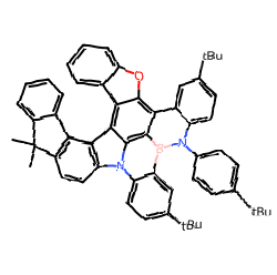 CC(C)(C)c1ccc(N2B3c4cc(C(C)(C)C)ccc4-n4c5ccc6c(c5c5c7c(oc8ccccc87)c(c3c54)-c3cc(C(C)(C)C)ccc32)-c2ccccc2C6(C)C)cc1